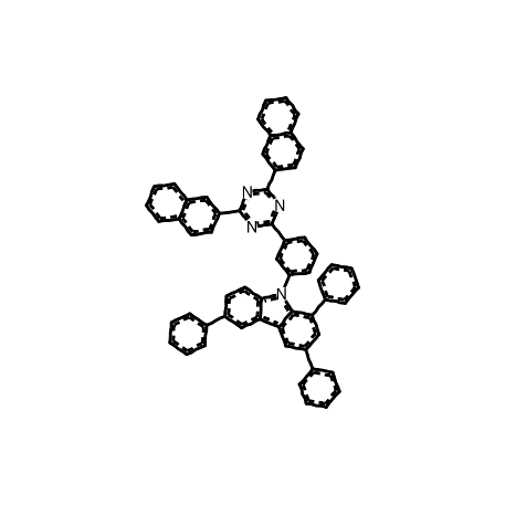 c1ccc(-c2ccc3c(c2)c2cc(-c4ccccc4)cc(-c4ccccc4)c2n3-c2cccc(-c3nc(-c4ccc5ccccc5c4)nc(-c4ccc5ccccc5c4)n3)c2)cc1